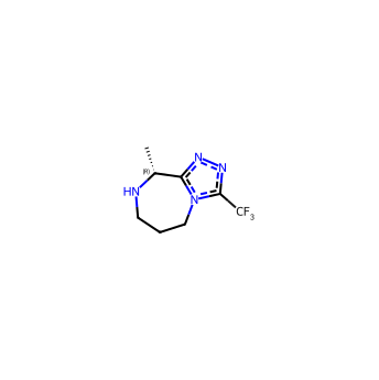 C[C@H]1NCCCn2c1nnc2C(F)(F)F